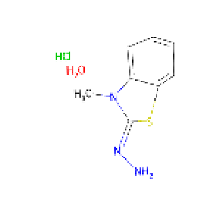 Cl.Cn1/c(=N/N)sc2ccccc21.O